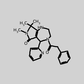 CN1C(=O)C2=C(NCCN(C(=O)Cc3ccccc3)C2c2ccccn2)C1(C)C